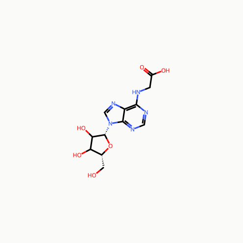 O=C(O)CNc1ncnc2c1ncn2[C@@H]1O[C@H](CO)C(O)C1O